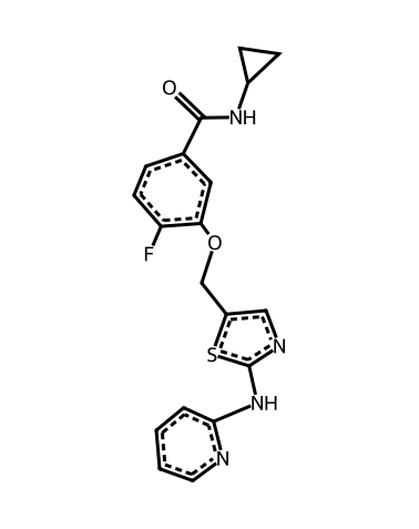 O=C(NC1CC1)c1ccc(F)c(OCc2cnc(Nc3ccccn3)s2)c1